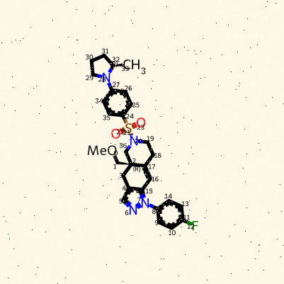 COC[C@]12Cc3cnn(-c4ccc(F)cc4)c3C=C1CCN(S(=O)(=O)c1ccc(N3CCC[C@H]3C)cc1)C2